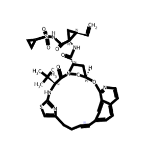 C=C[C@@H]1C[C@]1(NC(=O)[C@@H]1C[C@@H]2CN1C(=O)[C@H](C(C)(C)C)Nc1nc(cs1)CC/C=C/c1ccc3ccnc(c3c1)O2)C(=O)NS(=O)(=O)C1CC1